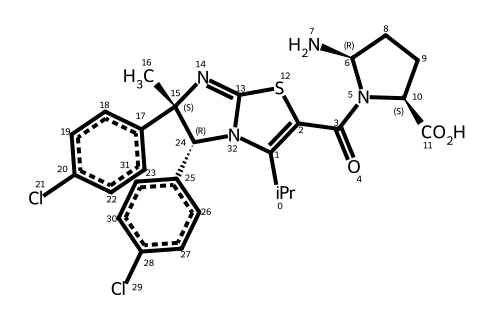 CC(C)C1=C(C(=O)N2[C@@H](N)CC[C@H]2C(=O)O)SC2=N[C@@](C)(c3ccc(Cl)cc3)[C@@H](c3ccc(Cl)cc3)N21